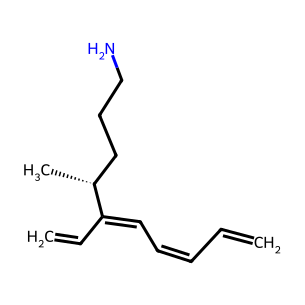 C=C/C=C\C=C(/C=C)[C@H](C)CCCN